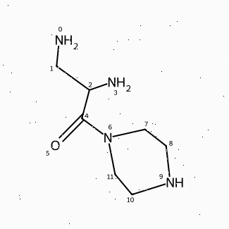 NCC(N)C(=O)N1CCNCC1